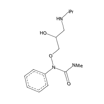 CNC(=O)N(OCC(O)CNC(C)C)c1ccccc1